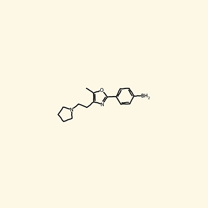 Bc1ccc(-c2nc(CCN3CCCC3)c(C)o2)cc1